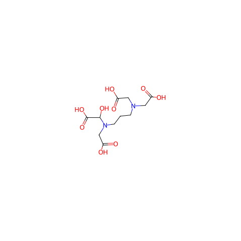 O=C(O)CN(CCCN(CC(=O)O)C(O)C(=O)O)CC(=O)O